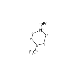 [CH2]CCN1CCC(C(F)(F)F)CC1